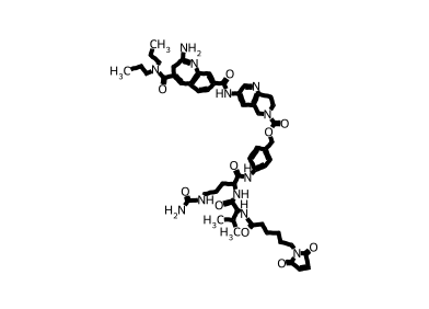 CCCN(CCC)C(=O)C1=Cc2ccc(C(=O)Nc3cnc4c(c3)CN(C(=O)OCc3ccc(NC(=O)C(CCCNC(N)=O)NC(=O)C(NC(=O)CCCCCN5C(=O)C=CC5=O)C(C)C)cc3)CC4)cc2N=C(N)C1